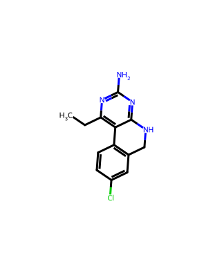 CCc1nc(N)nc2c1-c1ccc(Cl)cc1CN2